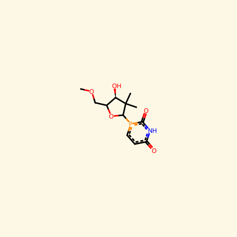 COCC1OC(p2ccc(=O)[nH]c2=O)C(C)(C)[C@@H]1O